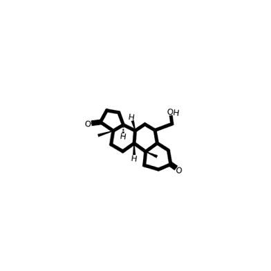 C[C@]12CCC(=O)CC1C(CO)C[C@@H]1[C@H]2CC[C@]2(C)C(=O)CC[C@@H]12